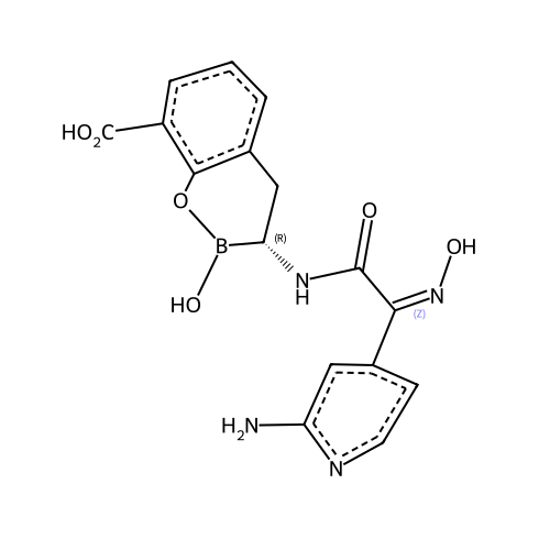 Nc1cc(/C(=N/O)C(=O)N[C@H]2Cc3cccc(C(=O)O)c3OB2O)ccn1